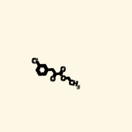 CCOC(=O)C(=O)Cc1cccc(Cl)c1